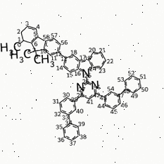 CC1CC=CC2=C1C(C)(C)c1cc(-c3ccc4c(c3)c3ccccc3n4-c3nc(-c4cccc(-c5ccccc5)c4)cc(-c4cccc(-c5ccccc5)c4)n3)ccc12